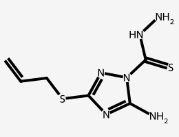 C=CCSc1nc(N)n(C(=S)NN)n1